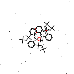 CC(C)(C)CC(C)(C)c1ccccc1[SiH](O[SiH](c1ccccc1C(C)(C)CC(C)(C)C)c1ccccc1C(C)(C)CC(C)(C)C)c1ccccc1C(C)(C)CC(C)(C)C